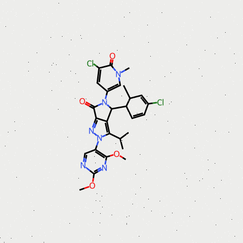 COc1ncc(-n2nc3c(c2C(C)C)C(C2C=CC(Cl)=CC2C)N(c2cc(Cl)c(=O)n(C)c2)C3=O)c(OC)n1